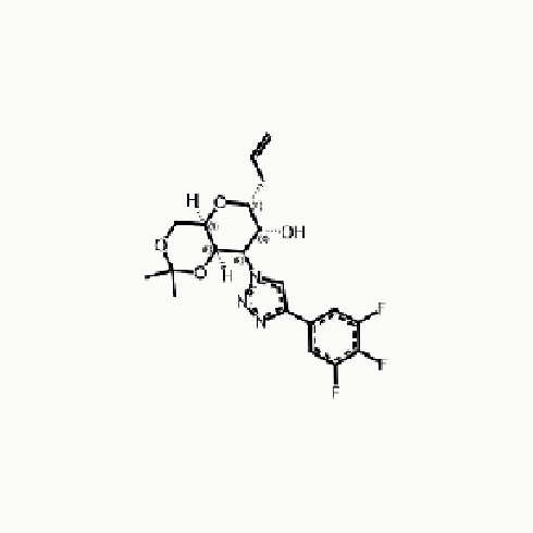 C=CC[C@H]1O[C@@H]2COC(C)(C)O[C@@H]2[C@H](n2cc(-c3cc(F)c(F)c(F)c3)nn2)[C@H]1O